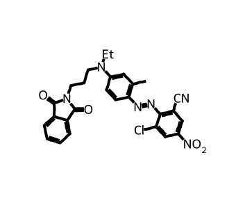 CCN(CCCN1C(=O)c2ccccc2C1=O)c1ccc(/N=N/c2c(Cl)cc([N+](=O)[O-])cc2C#N)c(C)c1